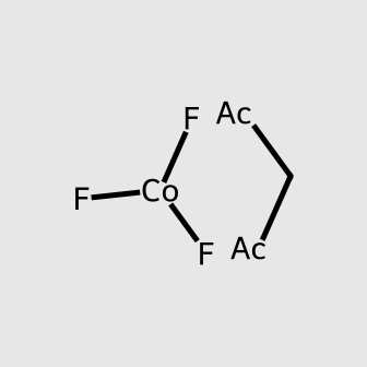 CC(=O)CC(C)=O.[F][Co]([F])[F]